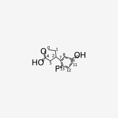 CCC(CC(=O)O)c1cc(O)ccc1F